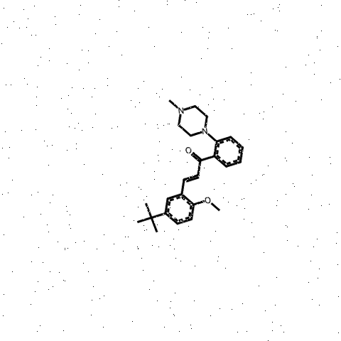 COc1ccc(C(C)(C)C)cc1C=CC(=O)c1ccccc1N1CCN(C)CC1